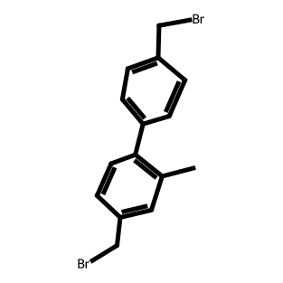 Cc1cc(CBr)ccc1-c1ccc(CBr)cc1